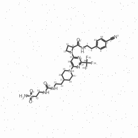 N#Cc1ccc(CCNC(=O)C2CCN2c2cc(N3CCC(CCNC(=O)NCCS(N)(=O)=O)CC3)nc(C(F)(F)F)n2)cc1